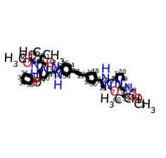 COO/C=N\[C@H](C(=O)N1CCC[C@H]1c1ncc(-c2ccc(C#Cc3ccc4nc([C@@H]5C[C@@H](Oc6ccccc6)CN5C(=O)[C@@H](NC(=O)OC)C(C)C)[nH]c4c3)cc2)[nH]1)C(C)C